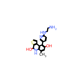 Cc1cc(O)c(-c2ccc(NCCN)nc2)c2c1NC(O)c1sccc1-2